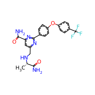 C[C@H](NCc1cc(C(N)=O)nc(-c2ccc(Oc3ccc(C(F)(F)F)cc3)cc2)n1)C(N)=O